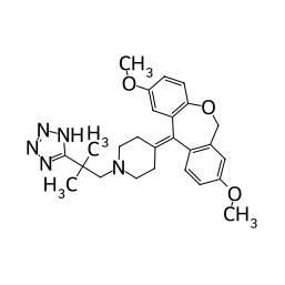 COc1ccc2c(c1)COc1ccc(OC)cc1C2=C1CCN(CC(C)(C)c2nnn[nH]2)CC1